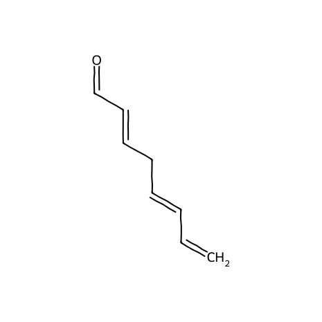 C=CC=CCC=CC=O